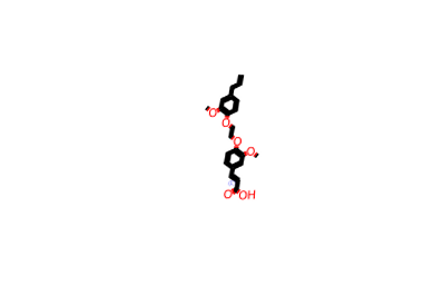 C=CCc1ccc(OCCOc2ccc(/C=C/C(=O)O)cc2OC)c(OC)c1